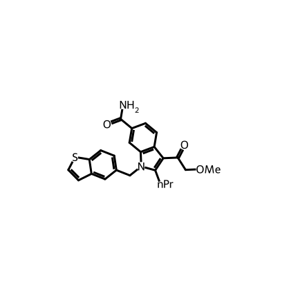 CCCc1c(C(=O)COC)c2ccc(C(N)=O)cc2n1Cc1ccc2sccc2c1